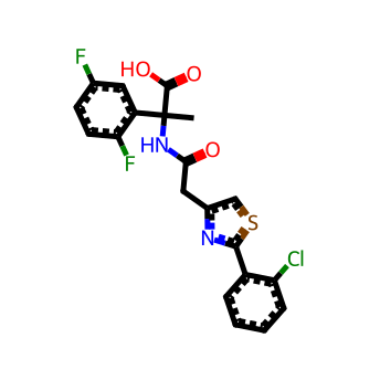 CC(NC(=O)Cc1csc(-c2ccccc2Cl)n1)(C(=O)O)c1cc(F)ccc1F